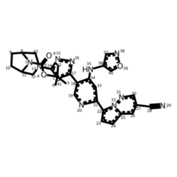 CC(C)(C)OC(=O)N1C2CCC1CN(c1nnc(-c3cnc(-c4ccc5cc(C#N)cnn45)cc3Nc3cnoc3)s1)C2